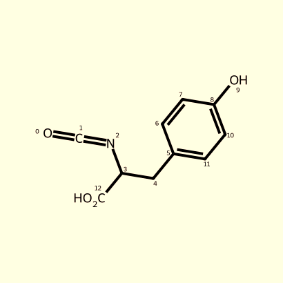 O=C=NC(Cc1ccc(O)cc1)C(=O)O